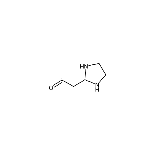 O=[C]CC1NCCN1